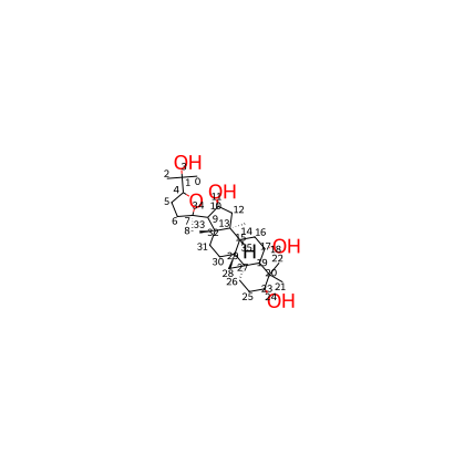 CC(C)(O)C1CC[C@](C)(C2[C@@H](O)C[C@@]3(C)[C@@H]4C[C@H](O)C5C(C)(C)[C@@H](O)CC[C@@]56C[C@@]46CC[C@]23C)O1